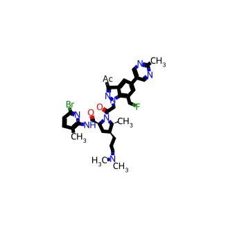 CC(=O)c1nn(CC(=O)N2[C@H](C)[C@@H](CCCN(C)C)C[C@H]2C(=O)Nc2nc(Br)ccc2C)c2c(CF)cc(-c3cnc(C)nc3)cc12